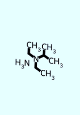 CCN(CC)C(C)C.N